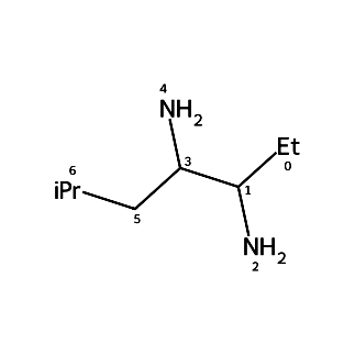 CCC(N)C(N)CC(C)C